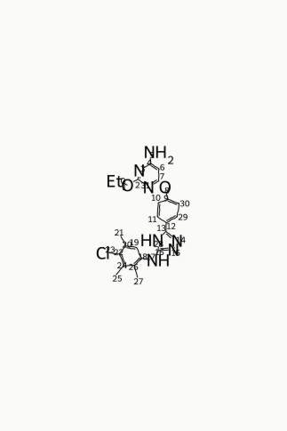 CCOc1nc(N)cc(Oc2ccc(-c3nnc(Nc4cc(C)c(Cl)c(C)c4C)[nH]3)cc2)n1